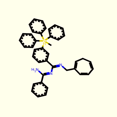 C[SH](c1ccccc1)(c1ccccc1)(c1ccccc1)c1cccc(C(/N=C(\N)c2ccccc2)=N/CC2=CCC=CC=C2)c1